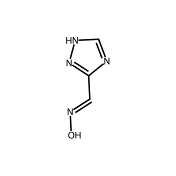 ON=Cc1nc[nH]n1